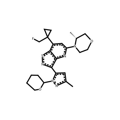 Cc1cc(-c2nsc3c(C4(CF)CC4)cc(N4CCOC[C@H]4C)nc23)n(C2CCCCO2)n1